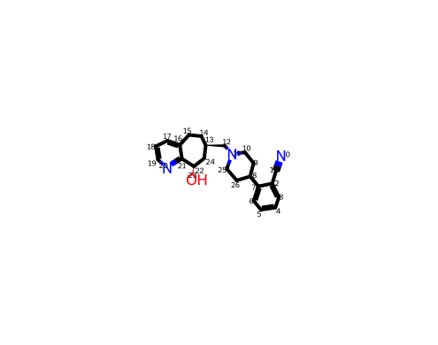 N#Cc1ccccc1C1CCN(C[C@@H]2CCc3cccnc3[C@@H](O)C2)CC1